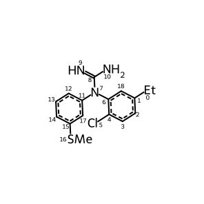 CCc1ccc(Cl)c(N(C(=N)N)c2cccc(SC)c2)c1